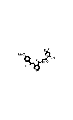 COc1ccc(C(C)Cc2cnccc2C(=O)NCC(=O)N2CC(F)(F)CC2C#N)cc1